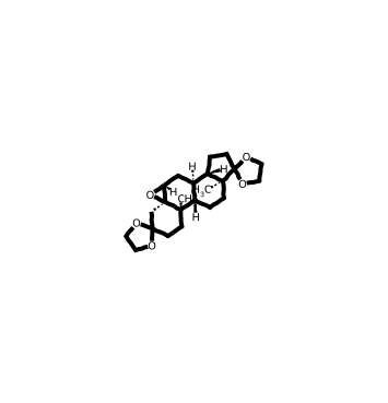 C[C@]12CC[C@H]3[C@@H](C[C@@H]4O[C@@]45CC4(CC[C@]35C)OCCO4)[C@@H]1CCC21OCCO1